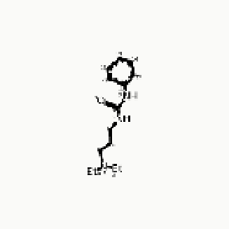 CCN(CC)CCCNC(=O)Nc1[c]cccc1